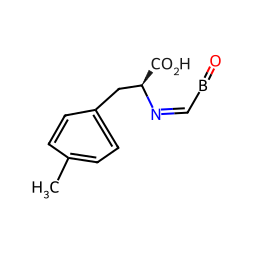 Cc1ccc(C[C@H](/N=C\B=O)C(=O)O)cc1